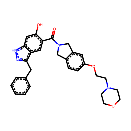 O=C(c1cc2c(Cc3ccccc3)n[nH]c2cc1O)N1Cc2ccc(OCCN3CCOCC3)cc2C1